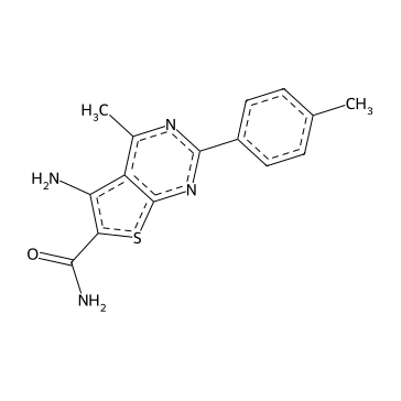 Cc1ccc(-c2nc(C)c3c(N)c(C(N)=O)sc3n2)cc1